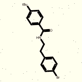 CC(C)(C)c1ccc(C(=O)NCCc2ccc(Br)cc2)cc1